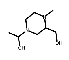 [CH2]C(O)N1CCN(C)C(CO)C1